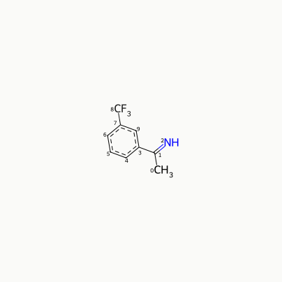 CC(=N)c1cccc(C(F)(F)F)c1